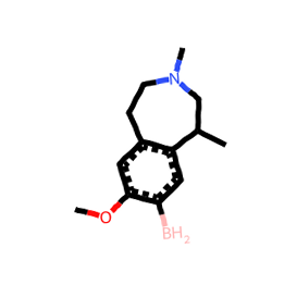 Bc1cc2c(cc1OC)CCN(C)CC2C